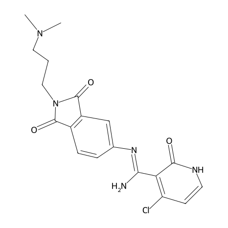 CN(C)CCCN1C(=O)c2ccc(/N=C(\N)c3c(Cl)cc[nH]c3=O)cc2C1=O